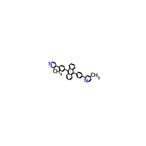 Cc1ccnc(-c2ccc(-c3c4ccccc4c(-c4ccc(-c5ccncc5C)cc4)c4ccccc34)cc2)c1